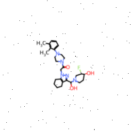 Cc1cccc(N2CCN(C(=O)Cn3nc(C(O)N4CC[C@H](O)[C@H](F)C4)c4c3CCCC4)CC2)c1C